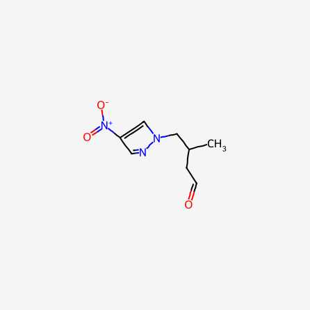 CC(CC=O)Cn1cc([N+](=O)[O-])cn1